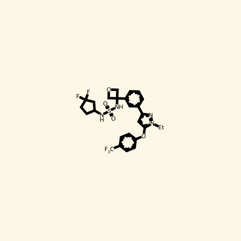 CCn1nc(-c2cccc(C3(NS(=O)(=O)NC4CCC(F)(F)C4)COC3)c2)cc1Oc1ccc(C(F)(F)F)cc1